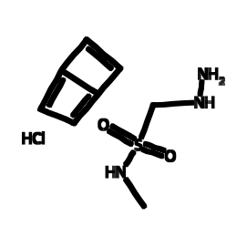 CNS(=O)(=O)CNN.Cl.c1cc2ccc1-2